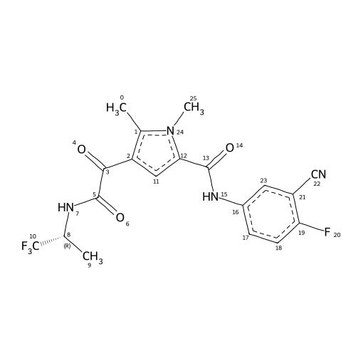 Cc1c(C(=O)C(=O)N[C@H](C)C(F)(F)F)cc(C(=O)Nc2ccc(F)c(C#N)c2)n1C